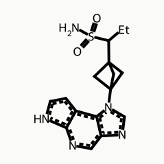 CCC(C12CC(n3cnc4cnc5[nH]ccc5c43)(C1)C2)S(N)(=O)=O